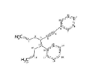 C=CCC(C#Cc1ccccc1)C(CC=C)c1ccccc1